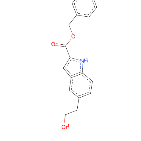 O=C(OCc1ccccc1)c1cc2cc(CCO)ccc2[nH]1